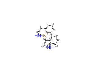 C1=Cc2ccccc2SN1.c1ccc2[nH]ccc2c1